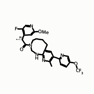 COc1cc([C@@H](C)C(=O)N2CCCCc3cc(-c4ccc(OC(F)(F)F)cn4)c(C)nc3NC2)c(F)cn1